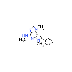 CNc1nc2c(cc(-c3ccccc3)n2C)c2c1ncn2C